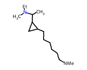 CCN(C)C(C)C1CC1CCCCCCNC